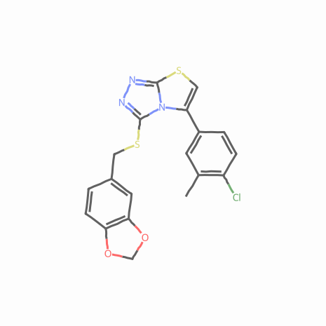 Cc1cc(-c2csc3nnc(SCc4ccc5c(c4)OCO5)n23)ccc1Cl